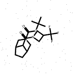 CC(C)(C)OC(=O)N1CC2CCC(C1)C2C(=O)N1CC(C(F)(F)F)C1